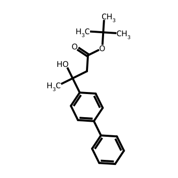 CC(C)(C)OC(=O)CC(C)(O)c1ccc(-c2ccccc2)cc1